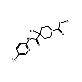 CC(C)(C)OC(=O)N1CCC(N)(C(=O)Nc2ccc(C(F)(F)F)cn2)CC1